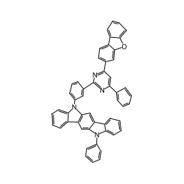 c1ccc(-c2cc(-c3ccc4c(c3)oc3ccccc34)nc(-c3cccc(-n4c5ccccc5c5cc6c(cc54)c4ccccc4n6-c4ccccc4)c3)n2)cc1